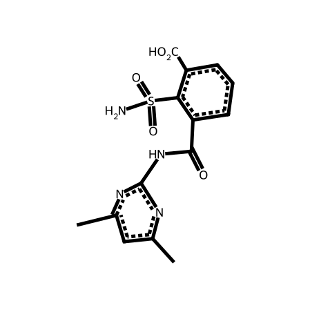 Cc1cc(C)nc(NC(=O)c2cccc(C(=O)O)c2S(N)(=O)=O)n1